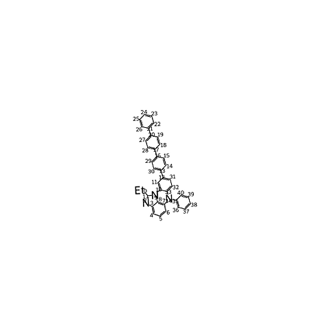 CCc1nc2cccc3c2n1-c1cc(-c2ccc(-c4ccc(-c5ccccc5)cc4)cc2)ccc1N3c1ccccc1